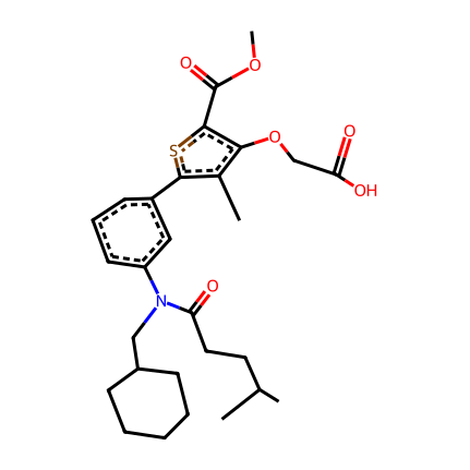 COC(=O)c1sc(-c2cccc(N(CC3CCCCC3)C(=O)CCC(C)C)c2)c(C)c1OCC(=O)O